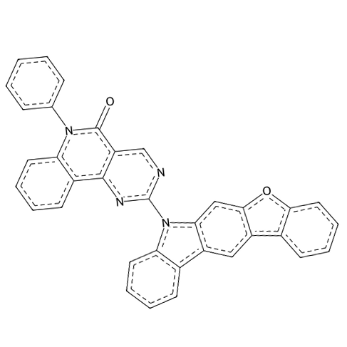 O=c1c2cnc(-n3c4ccccc4c4cc5c(cc43)oc3ccccc35)nc2c2ccccc2n1-c1ccccc1